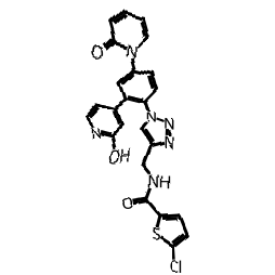 O=C(NCc1cn(-c2ccc(-n3ccccc3=O)cc2-c2ccnc(O)c2)nn1)c1ccc(Cl)s1